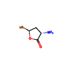 N[C@H]1CC(S)OC1=O